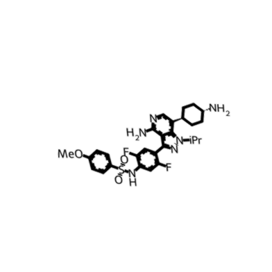 COc1ccc(S(=O)(=O)Nc2cc(F)c(-c3nn(C(C)C)c4c3c(N)ncc4[C@H]3CC[C@H](N)CC3)cc2F)cc1